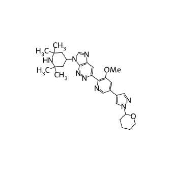 COc1cc(-c2cnn(C3CCCCO3)c2)cnc1-c1cc2ncn(C3CC(C)(C)NC(C)(C)C3)c2nn1